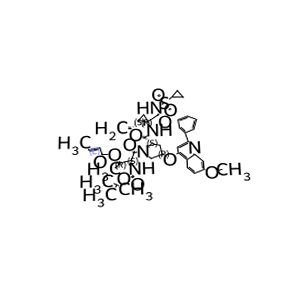 C=C[C@@H]1C[C@]1(NC(=O)[C@@H]1C[C@@H](Oc2cc(-c3ccccc3)nc3cc(OC)ccc23)CN1C(=O)[C@@H](NC(=O)OC(C)(C)C)[C@@H](C)OC(=O)/C=C/C)C(=O)NS(=O)(=O)C1CC1